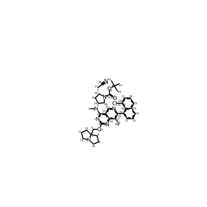 CN(c1nc(OCC23CCCN2CCC3)nc2c(F)c(-c3cccc4cccc(Cl)c34)ncc12)[C@@H]1C[C@H](CC#N)N(C(=O)OC(C)(C)C)C1